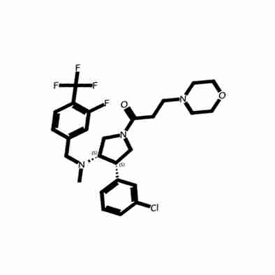 CN(Cc1ccc(C(F)(F)F)c(F)c1)[C@@H]1CN(C(=O)CCN2CCOCC2)C[C@@H]1c1cccc(Cl)c1